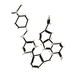 CN(C)[C@H]1CC[C@H](COc2cnc(-c3cccc(Cn4c(=O)ccn5c6cc(C#N)ccc6nc45)c3)nc2)CC1